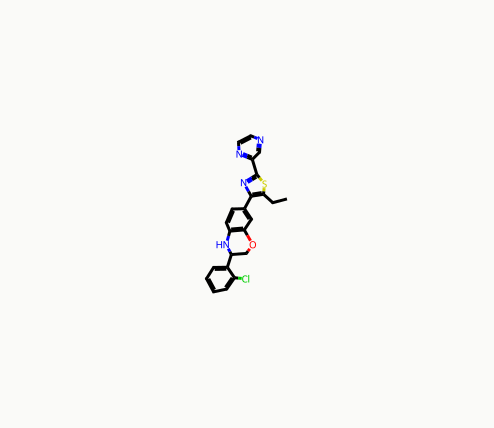 CCc1sc(-c2cnccn2)nc1-c1ccc2c(c1)OCC(c1ccccc1Cl)N2